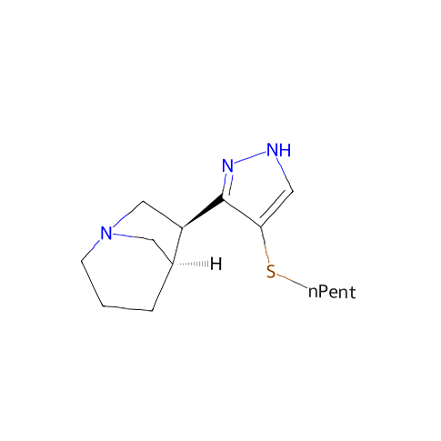 CCCCCSc1c[nH]nc1[C@@H]1CN2CCC[C@H]1C2